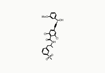 COc1cccc(P(O)C#Cc2cc(Cl)c(C(=O)NC(C)Cc3cccc(S(C)(=O)=O)c3)c(Cl)c2)c1